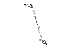 NCc1cn(CCOCCOCCOCCOCCOCCOCCOCCNN2CCC(I)CC2)nn1